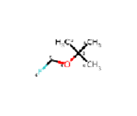 CC(C)(C)OCF